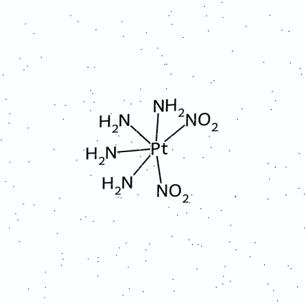 [NH2][Pt]([NH2])([NH2])([NH2])([N+](=O)[O-])[N+](=O)[O-]